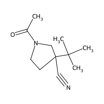 CC(=O)N1CCC(C#N)(C(C)(C)C)C1